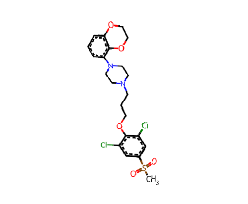 CS(=O)(=O)c1cc(Cl)c(OCCCN2CCN(c3cccc4c3OCCO4)CC2)c(Cl)c1